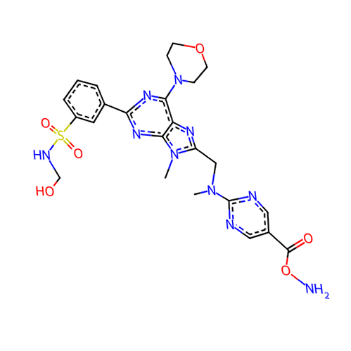 CN(Cc1nc2c(N3CCOCC3)nc(-c3cccc(S(=O)(=O)NCO)c3)nc2n1C)c1ncc(C(=O)ON)cn1